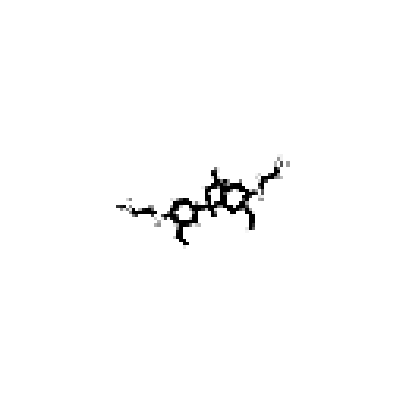 CCc1cc(C(C)(CC(C)C)c2ccc(OCCO)c(CC)c2)ccc1OCCO